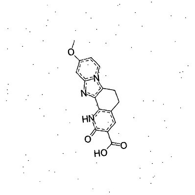 COc1ccn2c3c(nc2c1)-c1[nH]c(=O)c(C(=O)O)cc1CC3